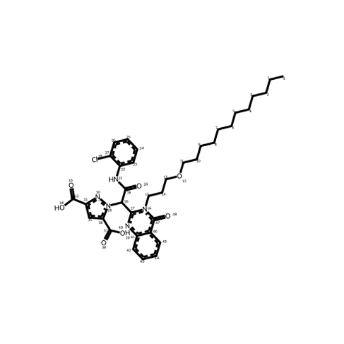 CCCCCCCCCCCCOCCCn1c(C(C(=O)Nc2ccccc2Cl)n2nc(C(=O)O)cc2C(=O)O)nc2ccccc2c1=O